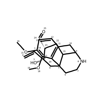 C=C[C@]1(O)CC23CCNC(Cc4ccc(OC)c(OC)c42)C3C[C@H]1C=O